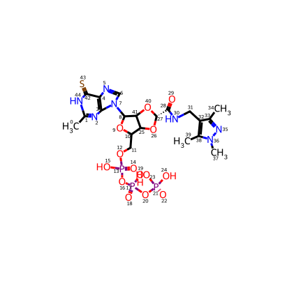 Cc1nc2c(ncn2C2OC(COP(=O)(O)OP(=O)(O)OP(=O)(O)O)C3O[C@@H](C(=O)NCc4c(C)nn(C)c4C)OC32)c(=S)[nH]1